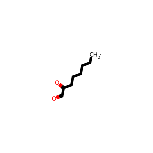 [CH2]CCCCCC(=O)[C]=O